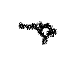 Cc1c(Cl)c2c(Cl)c(C)c1-c1c(-c3ccc(F)cc3)sc3ncnc(c13)O[C@@H](C(=O)OC(C)(C)C)Cc1cc(ccc1OCc1ccnc(-c3ccc(NC[C@@H]4COCCO4)nc3)n1)OC[C@@H](CN1CCN(C)CC1)O2